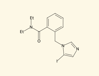 CCN(CC)C(=O)c1ccccc1Cn1cncc1I